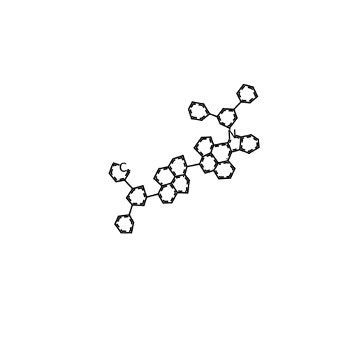 c1ccc(-c2cc(-c3ccccc3)cc(-c3ccc4ccc5c(-c6cc7cccc8c7c7c6cccc7c6c8c7ccccc7n6-c6cc(-c7ccccc7)cc(-c7ccccc7)c6)ccc6ccc3c4c65)c2)cc1